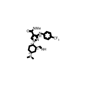 CNC(=O)c1cn([C@H]2CC[C@@H](N(C)C)C[C@@H]2C=N)nc1Nc1ccc(C(F)(F)F)cc1